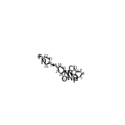 O=c1[nH]c(-c2c(F)cccc2Cl)nn1-c1ccc(C#Cc2ccc(F)nc2)cc1